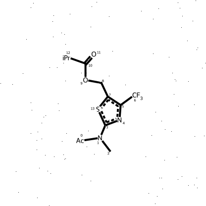 CC(=O)N(C)c1nc(C(F)(F)F)c(COC(=O)C(C)C)s1